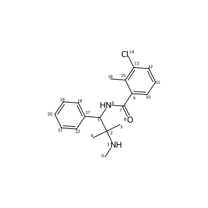 CNC(C)(C)C(NC(=O)c1cccc(Cl)c1C)c1ccccc1